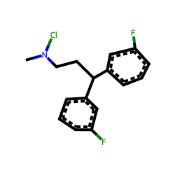 CN(Cl)CCC(c1cccc(F)c1)c1cccc(F)c1